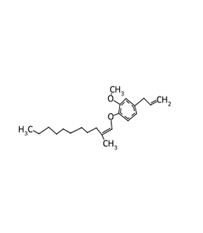 C=CCc1ccc(OC=C(C)CCCCCCCCC)c(OC)c1